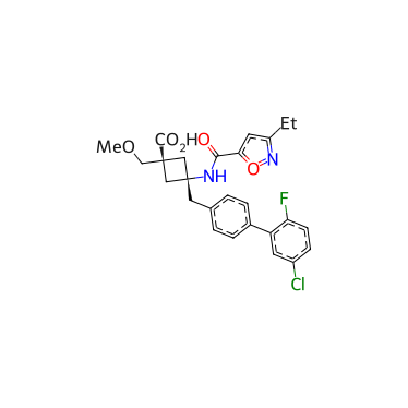 CCc1cc(C(=O)N[C@]2(Cc3ccc(-c4cc(Cl)ccc4F)cc3)C[C@@](COC)(C(=O)O)C2)on1